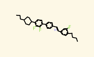 CCCCc1ccc(/C=C/c2ccc(-c3ccc(C4CCC(CCC)CC4)c(F)c3F)cc2)cc1F